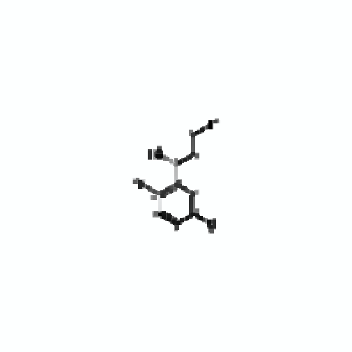 O[C@H](CCI)c1cc(Cl)ccc1F